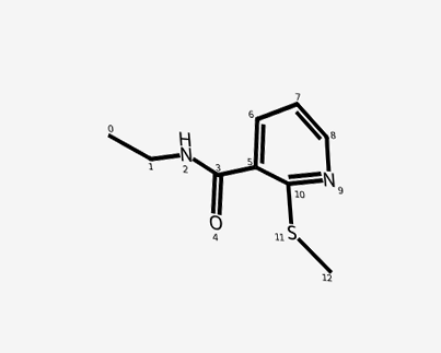 CCNC(=O)c1cccnc1SC